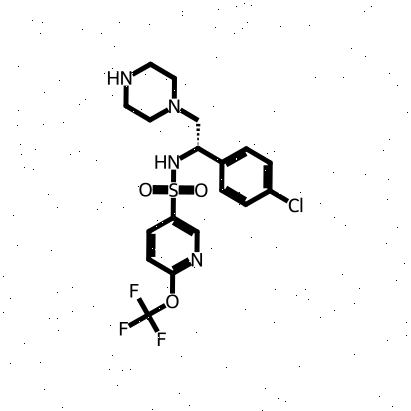 O=S(=O)(N[C@H](CN1CCNCC1)c1ccc(Cl)cc1)c1ccc(OC(F)(F)F)nc1